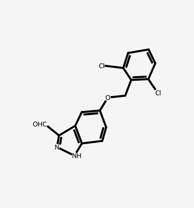 O=Cc1n[nH]c2ccc(OCc3c(Cl)cccc3Cl)cc12